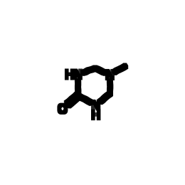 CN1CNC(=O)NC1